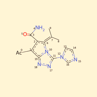 CC(=O)c1c(C(N)=O)c(=C(C)C)n2c(-n3ccnc3)nnc12